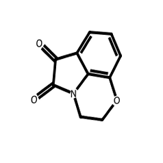 O=C1C(=O)N2CCOc3cccc1c32